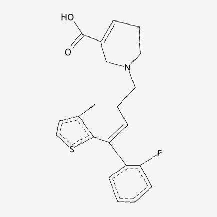 Cc1ccsc1C(=CCCN1CCC=C(C(=O)O)C1)c1ccccc1F